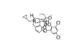 CO[C@]12CC[C@@]3(C=C1C(=O)Oc1c(Cl)cc(Cl)cc1Cl)[C@H]1Cc4ccc(C)c5c4[C@@]3(CCN1CC1CC1)[C@H]2O5